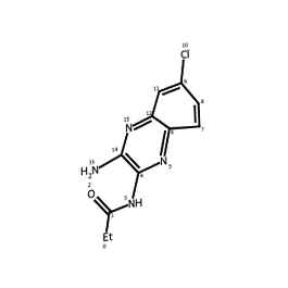 CCC(=O)Nc1nc2ccc(Cl)cc2nc1N